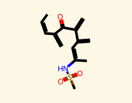 C=C(/C=C\C)C(=O)C(=C)C(=C)/C=C(\C)NS(C)(=O)=O